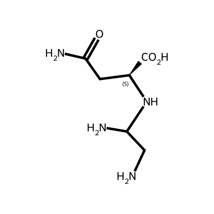 NCC(N)N[C@@H](CC(N)=O)C(=O)O